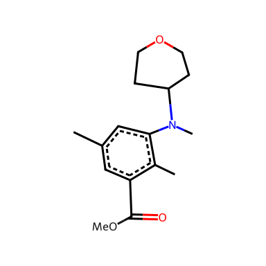 COC(=O)c1cc(C)cc(N(C)C2CCOCC2)c1C